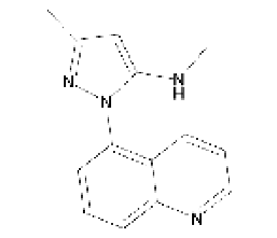 CNc1cc(C)nn1-c1cccc2ncccc12